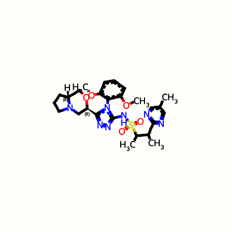 COc1cccc(OC)c1-n1c(NS(=O)(=O)C(C)C(C)c2ncc(C)cn2)nnc1[C@H]1CN2CCC[C@@H]2CO1